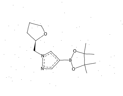 CC1(C)OB(c2cnn(C[C@H]3CCCO3)c2)OC1(C)C